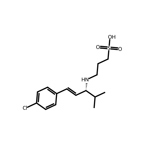 CC(C)[C@H](/C=C/c1ccc(Cl)cc1)NCCCS(=O)(=O)O